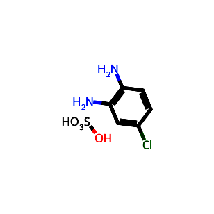 Nc1ccc(Cl)cc1N.O=S(=O)(O)O